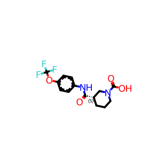 O=C(Nc1ccc(OC(F)(F)F)cc1)[C@H]1CCCN(C(=O)O)C1